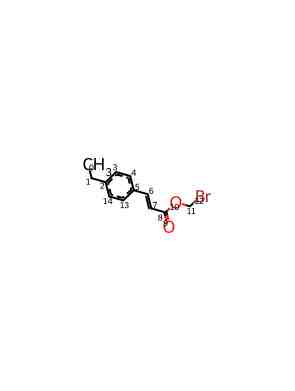 CCc1ccc(C=CC(=O)OCBr)cc1